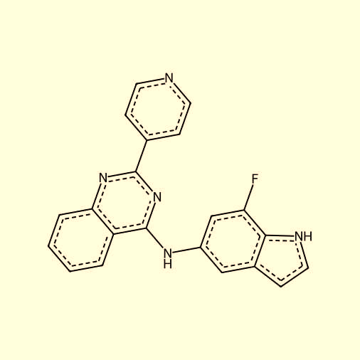 Fc1cc(Nc2nc(-c3ccncc3)nc3ccccc23)cc2cc[nH]c12